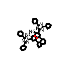 N#Cc1ccc(-c2cccc3cccc(-c4ccc(C#N)c(-c5nc(-c6ccccc6)nc(-c6ccccc6)n5)c4)c23)cc1-c1nc(-c2ccccc2)nc(-c2ccccc2)n1